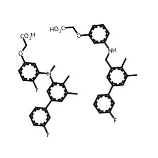 Cc1cc(-c2cccc(F)c2)cc(CNc2cccc(OCC(=O)O)c2)c1C.Cc1cc(-c2cccc(F)c2)cc(N(C)c2cc(OCC(=O)O)ccc2F)c1C